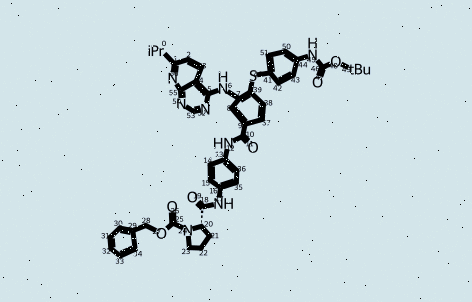 CC(C)c1ccc2c(Nc3cc(C(=O)Nc4ccc(NC(=O)[C@@H]5CCCN5C(=O)OCc5ccccc5)cc4)ccc3Sc3ccc(NC(=O)OC(C)(C)C)cc3)ncnc2n1